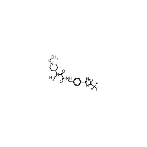 CON1CCC(N(C)C(=O)C(=O)NCc2ccc(-c3noc(C(F)(F)F)n3)cc2)CC1